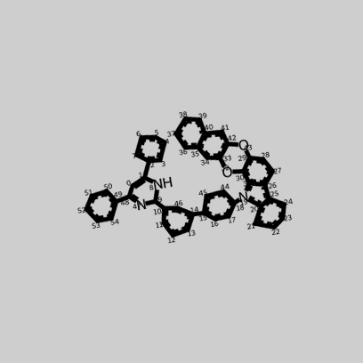 C1=C(c2ccccc2)NC(c2cccc(-c3ccc(-n4c5ccccc5c5ccc6c(c54)Oc4cc5ccccc5cc4O6)cc3)c2)N=C1c1ccccc1